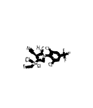 Cc1c(C#N)c(S(Cl)(Cl)CF)cn1-c1c(Cl)cc(C(F)(F)F)cc1Cl